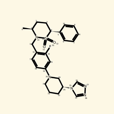 C[C@H]1CC[C@H](c2ccccc2)S(=O)(=O)N1Cc1ccc(N2CCC[C@@H](n3cnnc3)C2)cc1F